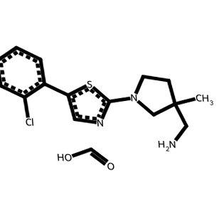 CC1(CN)CCN(c2ncc(-c3ccccc3Cl)s2)C1.O=CO